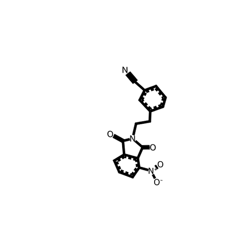 N#Cc1cccc(CCN2C(=O)c3cccc([N+](=O)[O-])c3C2=O)c1